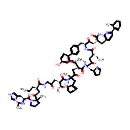 CCc1cc(O)ccc1-c1ccc(C[C@H](NC(=O)[C@H](CC(=O)O)CC(=O)[C@H](CC2=CCC=N2)NC(=O)[C@@H](CC(=O)C(C)(Cc2ccccc2F)NC(=O)[C@@H](CC(=O)CNC(=O)[C@H](CCC(=O)O)CC(=O)C2(C)CCCN2C(=O)[C@H](Cc2c[nH]cn2)NC(=O)OC)[C@@H](C)O)[C@@H](C)O)C(=O)C[C@@H](Cc2ccc(-c3ccccc3C)nc2)C(N)=O)cc1